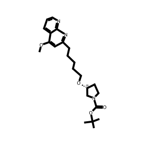 COc1cc(CCCCCO[C@@H]2CCN(C(=O)OC(C)(C)C)C2)nc2ncccc12